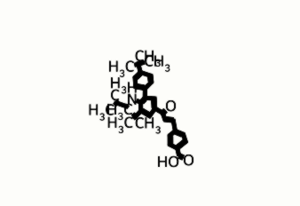 CC(C)CNc1c(-c2ccc(C(C)(C)C)cc2)cc(C(=O)C=Cc2ccc(C(=O)O)cc2)cc1C(C)(C)C